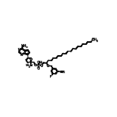 CCCCCCCCCCCCCCCCCCC[C@H](COP(=O)(O)OC[C@]1(N)CC[C@H](c2ccc3c(N)ncnn23)O1)OCc1cc(F)cc(C#N)c1